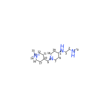 CNCCNC1CCN(CC2CC[N+](C)(C)CC2)CC1